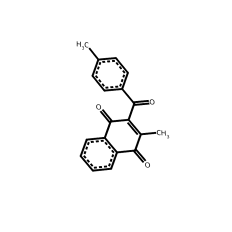 CC1=C(C(=O)c2ccc(C)cc2)C(=O)c2ccccc2C1=O